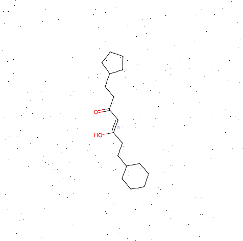 O=C(/C=C(\O)CCC1CCCCC1)CCC1CCCC1